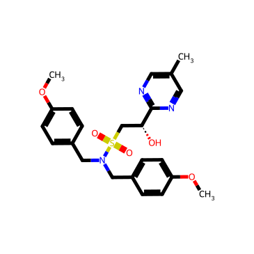 COc1ccc(CN(Cc2ccc(OC)cc2)S(=O)(=O)C[C@@H](O)c2ncc(C)cn2)cc1